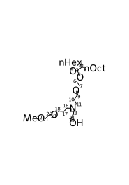 CCCCCCCCC(CCCCCC)C(=O)OCCOCCCN(CCO)CCCOCCOC